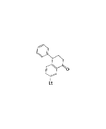 CCc1ccc2c(c1)C(=O)CCC2c1ccccc1